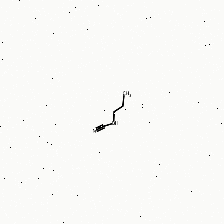 CCCBC#N